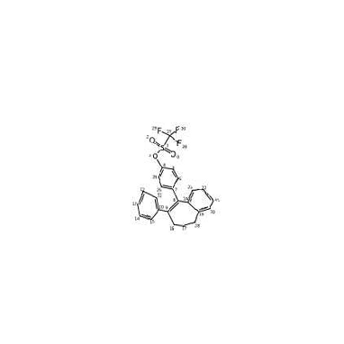 O=S(=O)(Oc1ccc(C2=C(c3ccccc3)CCCc3ccccc32)cc1)C(F)(F)F